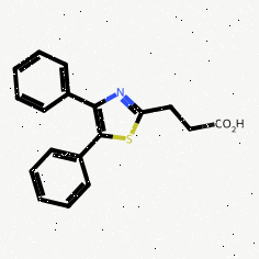 O=C(O)CCc1nc(-c2ccccc2)c(-c2ccccc2)s1